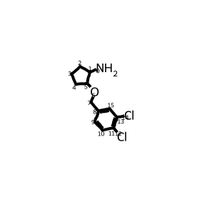 NC1CCCC1OCc1ccc(Cl)c(Cl)c1